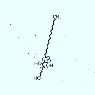 CCCCCCCCCCCCCCCCCC(=O)OC(C(=O)O)C(O)C(=O)OCCCO